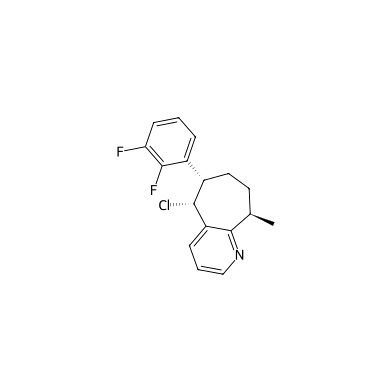 C[C@@H]1CC[C@@H](c2cccc(F)c2F)[C@@H](Cl)c2cccnc21